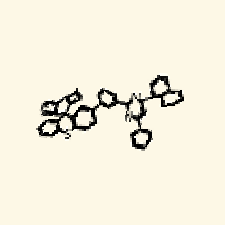 c1ccc(-c2cc(-c3cccc4ccccc34)nc(-c3cccc(-c4ccc5c(c4)C4(c6ccccc6S5)c5ccccc5-c5ccccc54)c3)n2)cc1